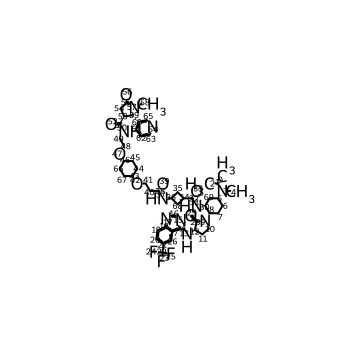 CC(C)N(C)[C@@H]1CC[C@H](N2CC[C@@H](Nc3ncnc4ccc(C(F)(F)F)cc34)C2=O)[C@H](NC(=O)C2CC(NC(=O)CCOC3CCC(OCCNC(=O)[C@H]4CC(=O)N(C)[C@@H]4c4cccnc4)CC3)C2)C1